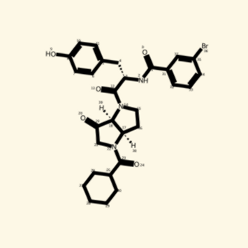 O=C(N[C@@H](Cc1ccc(O)cc1)C(=O)N1CC[C@@H]2[C@H]1C(=O)CN2C(=O)C1CCCCC1)c1cccc(Br)c1